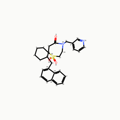 O=C1CC2(CCCCC2Cc2cccc3ccccc23)S(=O)(=O)CCN1Cc1cccnc1